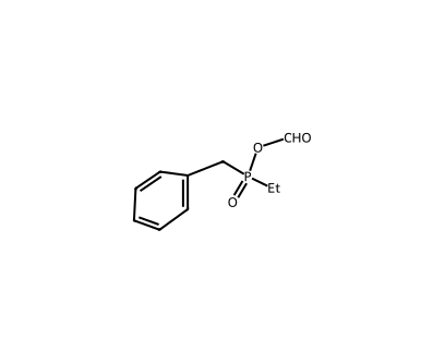 CCP(=O)(Cc1ccccc1)OC=O